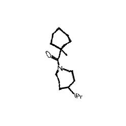 CC(C)C1CCN(C(=O)C2(C)CCCCC2)CC1